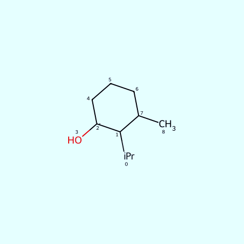 CC(C)C1[C](O)CCCC1C